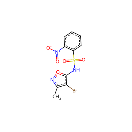 Cc1noc(NS(=O)(=O)c2ccccc2[N+](=O)[O-])c1Br